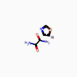 I.NC(=O)C(N)=O.c1cscn1